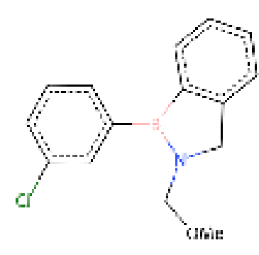 COCN1Cc2ccccc2B1c1cccc(Cl)c1